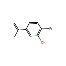 C=C(C)c1ccc(C(C)C)c(O)c1